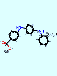 CC(C)(C)OC(=O)c1ccc(Nc2ccc(Nc3ccccc3C(=O)O)cc2)cc1